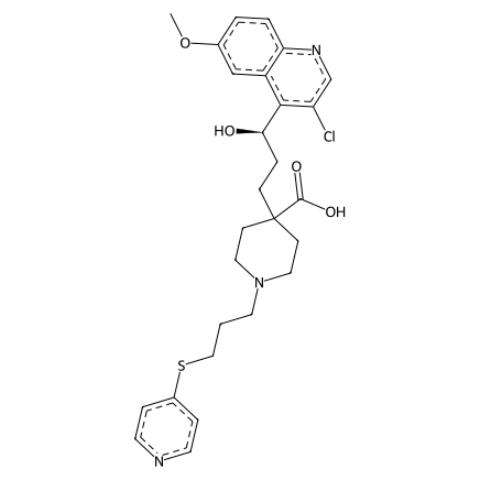 COc1ccc2ncc(Cl)c([C@H](O)CCC3(C(=O)O)CCN(CCCSc4ccncc4)CC3)c2c1